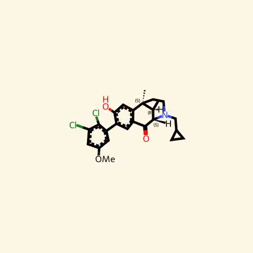 COc1cc(Cl)c(Cl)c(-c2cc3c(cc2O)[C@@]2(C)CCN(CC4CC4)[C@H](C3=O)[C@@H]2C)c1